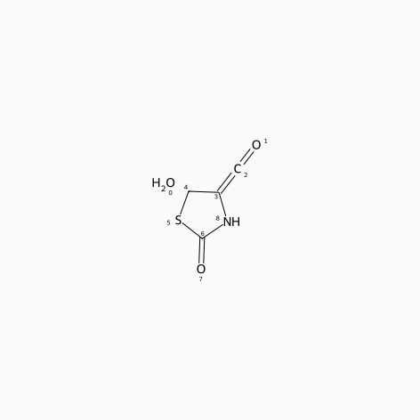 O.O=C=C1CSC(=O)N1